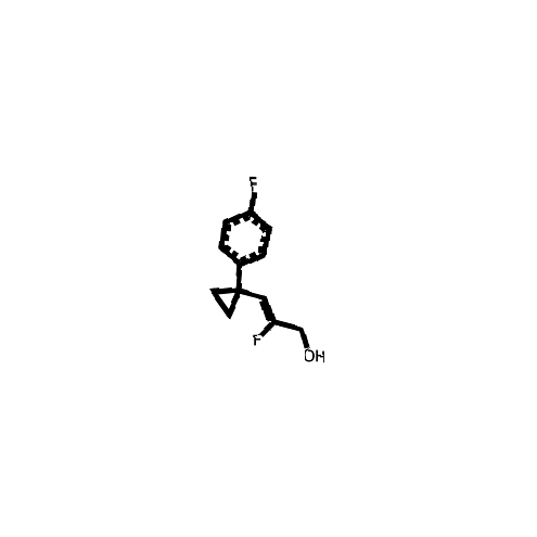 OCC(F)=CC1(c2ccc(F)cc2)CC1